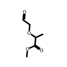 COC(=O)C(C)OCC=O